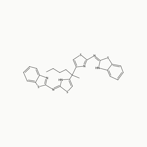 CCCCC(C)(c1csc(/N=c2\[nH]c3ccccc3s2)n1)c1cs/c(=N/c2nc3ccccc3s2)[nH]1